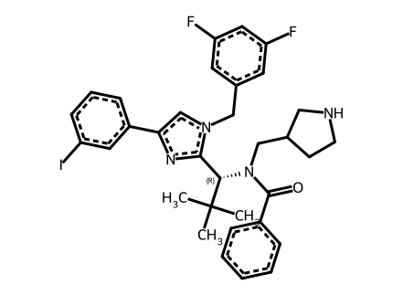 CC(C)(C)[C@H](c1nc(-c2cccc(I)c2)cn1Cc1cc(F)cc(F)c1)N(CC1CCNC1)C(=O)c1ccccc1